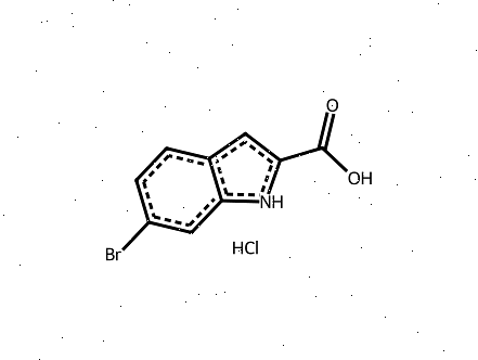 Cl.O=C(O)c1cc2ccc(Br)cc2[nH]1